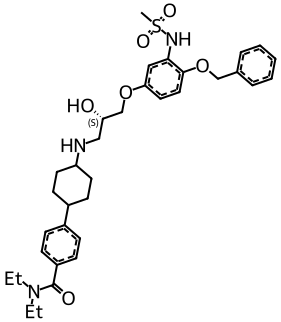 CCN(CC)C(=O)c1ccc(C2CCC(NC[C@H](O)COc3ccc(OCc4ccccc4)c(NS(C)(=O)=O)c3)CC2)cc1